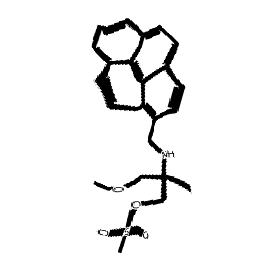 COCC(C)(COS(C)(=O)=O)NCc1ccc2ccc3cccc4ccc1c2c34